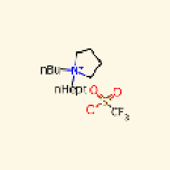 CCCCCCC[N+]1(CCCC)CCCC1.O=S(=O)([O-])C(F)(F)F